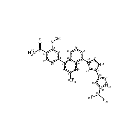 CCNc1cc(-c2cc(C(F)(F)F)nc3c(-n4cnc(-c5cnn(C(F)F)c5)c4)cccc23)ccc1C(N)=O